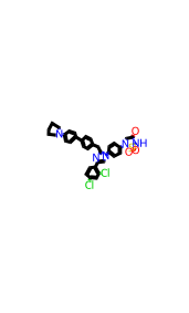 O=C1CN(c2ccc(-n3cc(-c4ccc(Cl)cc4Cl)nc3Cc3ccc(-c4ccc(N5CCCCC5)cc4)cc3)cc2)S(=O)(=O)N1